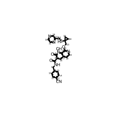 Cn1c(=O)c(C(=O)NCc2ccc(C#N)cc2)cc2ccnc(OCC3(SNc4cnccn4)CC3)c21